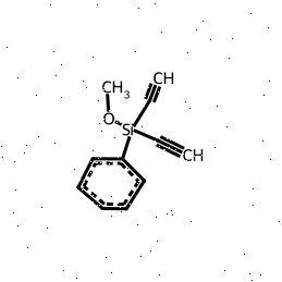 C#C[Si](C#C)(OC)c1ccccc1